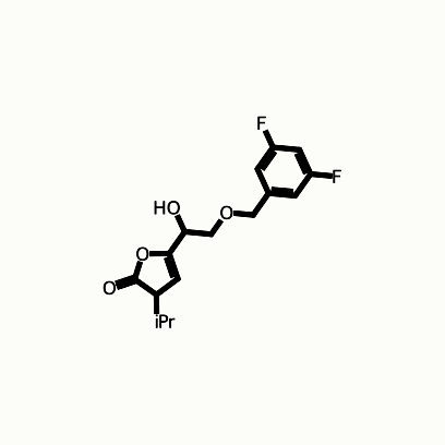 CC(C)C1C=C(C(O)COCc2cc(F)cc(F)c2)OC1=O